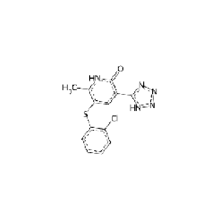 Cc1[nH]c(=O)c(-c2nnn[nH]2)cc1Sc1ccccc1Cl